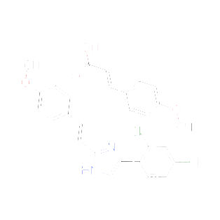 COc1ccc(/C=C/C(=O)O)cc1.COc1ccc(/C=C/c2nc(-c3ccc(Cl)cc3Cl)c[nH]2)cc1